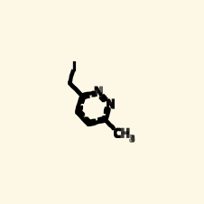 Cc1ccc(CI)nn1